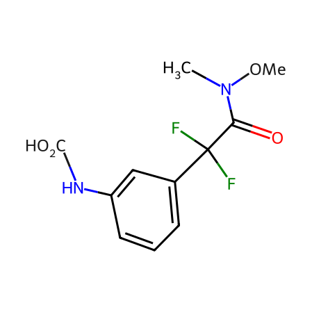 CON(C)C(=O)C(F)(F)c1cccc(NC(=O)O)c1